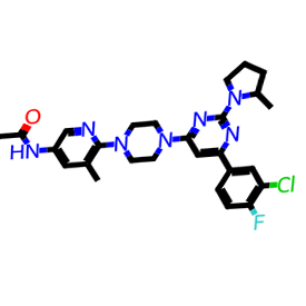 CC(=O)Nc1cnc(N2CCN(c3cc(-c4ccc(F)c(Cl)c4)nc(N4CCCC4C)n3)CC2)c(C)c1